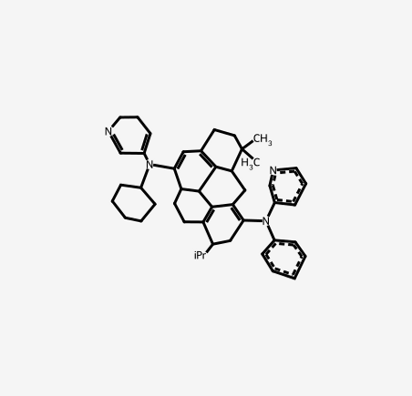 CC(C)C1CC(N(c2ccccc2)c2cccnc2)=C2CC3C4=C(C=C(N(C5=CCCN=C5)C5CCCCC5)C5CCC1=C2C45)CCC3(C)C